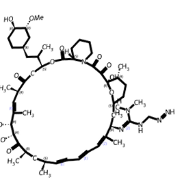 CO[C@@H]1C[C@@H](CC(C)[C@@H]2CC(=O)[C@H](C)/C=C(\C)[C@@H](O)[C@@H](OC)C(=O)[C@H](C)C[C@H](C)/C=C/C=C/C=C(/C)[C@H](/N=C(/NCN=N)N(C)C)C[C@@H]3CC[C@@H](C)[C@@](O)(O3)C(=O)C(=O)N3CCCC[C@H]3C(=O)O2)CC[C@H]1O